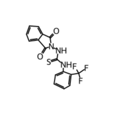 O=C1c2ccccc2C(=O)N1NC(=S)Nc1ccccc1C(F)(F)F